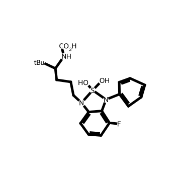 CC(C)(C)C(CCCN1c2cccc(F)c2N(c2ccccc2)S1(O)O)NC(=O)O